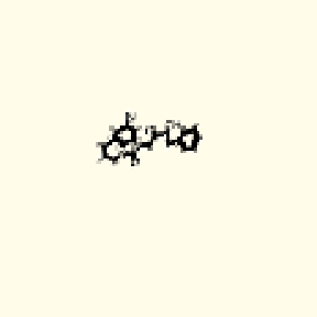 CN(Cc1ccccc1)C(=O)Cn1c(=O)n2c3c(cc(Br)cc31)CCC2